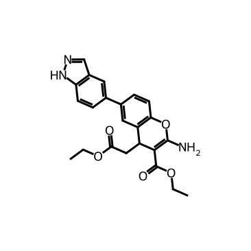 CCOC(=O)CC1C(C(=O)OCC)=C(N)Oc2ccc(-c3ccc4[nH]ncc4c3)cc21